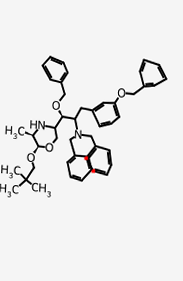 C[C@H]1NC([C@@H](OCc2ccccc2)C(Cc2cccc(OCc3ccccc3)c2)N(Cc2ccccc2)Cc2ccccc2)CO[C@H]1OCC(C)(C)C